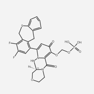 O=C1c2c(OCOP(=O)(O)O)c(=O)cc(-c3cc(F)c(F)c4c3Cc3ccccc3SC4)n2N[C@@H]2COCCN12